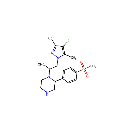 Cc1c(Cl)c(C(F)(F)F)nn1CC(C=O)N1CCNCC1c1ccc(S(C)(=O)=O)cc1